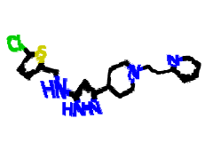 Clc1ccc(CNc2cc(C3CCN(CCc4ccccn4)CC3)n[nH]2)s1